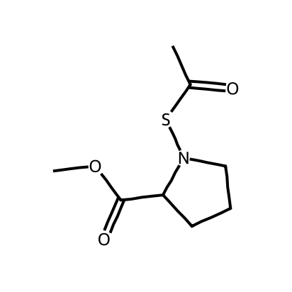 COC(=O)C1CCCN1SC(C)=O